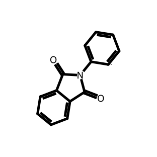 O=C1c2ccccc2C(=O)N1c1[c]cccc1